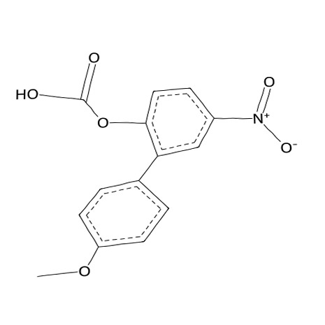 COc1ccc(-c2cc([N+](=O)[O-])ccc2OC(=O)O)cc1